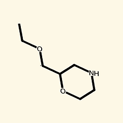 CCO[CH]C1CNCCO1